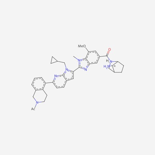 COc1cc(C(=O)N2CC3CCC2[C@@H]3N)cc2nc(-c3cc4ccc(-c5cccc6c5CCN(C(C)=O)C6)nc4n3CC3CC3)n(C)c12